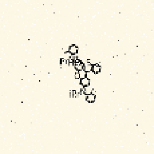 Cc1ccccc1N(c1ccc2c(-c3ccccc3S(=O)(=O)O)c3cc/c(=[N+](\c4ccccc4C)C(C)C)cc-3oc2c1)C(C)C